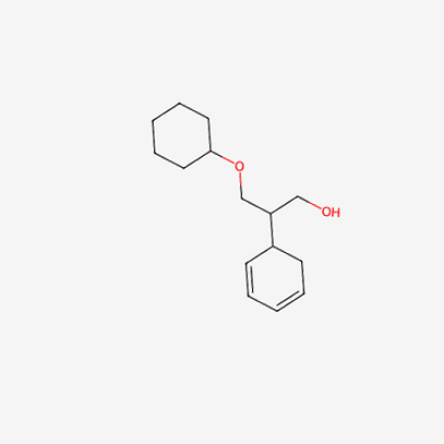 OCC(COC1CCCCC1)C1C=CC=CC1